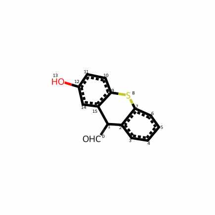 O=CC1c2ccccc2Sc2ccc(O)cc21